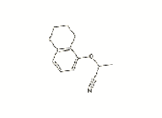 CC(C#N)Oc1cccc2c1CCCC2